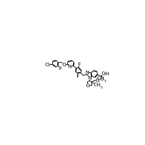 COC[C@@]1(C)COCC1n1c(Cc2cc(F)c(-c3cccc(OCc4ccc(Cl)cc4F)n3)cc2F)nc2ccc(C(=O)O)cc21